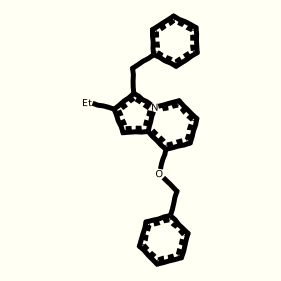 CCc1cc2c(OCc3ccccc3)cccn2c1Cc1ccccc1